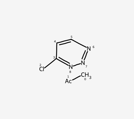 CC(C)=O.Clc1ccnnn1